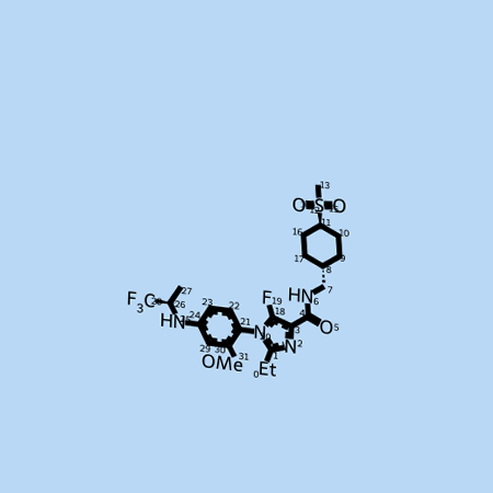 CCc1nc(C(=O)NC[C@H]2CC[C@H](S(C)(=O)=O)CC2)c(F)n1-c1ccc(N[C@H](C)C(F)(F)F)cc1OC